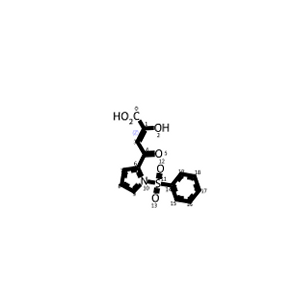 O=C(O)/C(O)=C/C(=O)c1cccn1S(=O)(=O)c1ccccc1